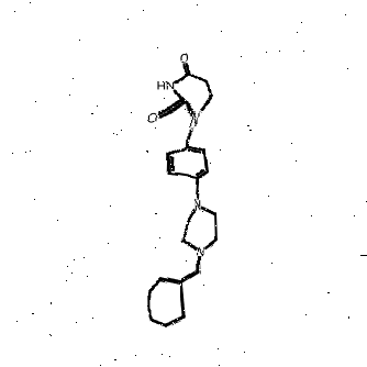 O=C1CCN(c2ccc(N3CCN(CC4CCCCC4)CC3)cc2)C(=O)N1